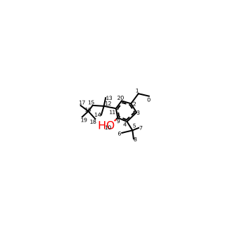 CCc1cc(C(C)(C)C)c(O)c(C(C)(C)CC(C)(C)C)c1